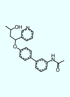 CC(=O)Nc1cccc(-c2ccc(OC(CC(C)O)c3cccnc3)cc2)c1